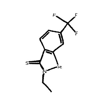 CCn1[se]c2cc(C(F)(F)F)ccc2c1=S